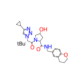 CC(C)(C)[C@@H](C(=O)N1CC(O)CC1C(=O)NCc1ccc2c(c1)CCCO2)n1cc(C2CC2)nn1